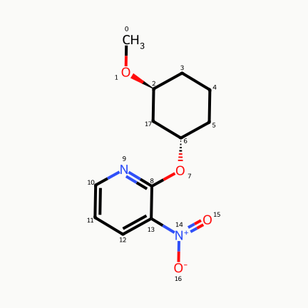 CO[C@H]1CCC[C@H](Oc2ncccc2[N+](=O)[O-])C1